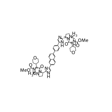 COC(=O)N[C@@H](C(=O)N1C(c2nc(-c3ccc4cc(-c5ccc(-c6cnc([C@@H]7CCN(C)N7C(=O)[C@H](NC(=O)OC)C7CCOCC7)[nH]6)cc5)ccc4c3)c[nH]2)CCN1C)C1CCOCC1